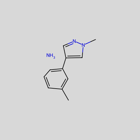 Cc1cccc(-c2cnn(C)c2)c1.N